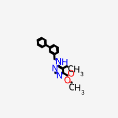 CCOC(=O)c1ncnc(NCc2cccc(-c3ccccc3)c2)c1CC